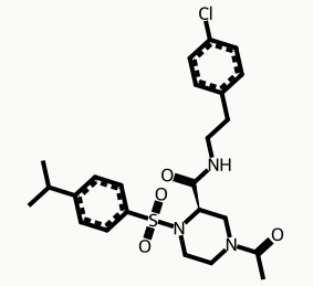 CC(=O)N1CCN(S(=O)(=O)c2ccc(C(C)C)cc2)[C@@H](C(=O)NCCc2ccc(Cl)cc2)C1